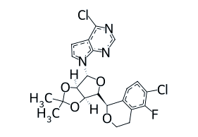 CC1(C)O[C@@H]2[C@H](O1)C([C@@H]1OCCc3c1ccc(Cl)c3F)O[C@H]2n1ccc2c(Cl)ncnc21